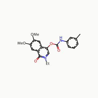 CCn1cc(OC(=O)Nc2cccc(C)c2)c2cc(OC)c(OC)cc2c1=O